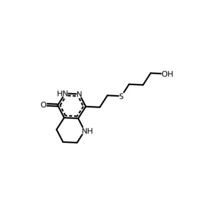 O=c1[nH]nc(CCSCCCO)c2c1CCCN2